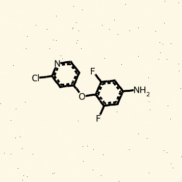 Nc1cc(F)c(Oc2ccnc(Cl)c2)c(F)c1